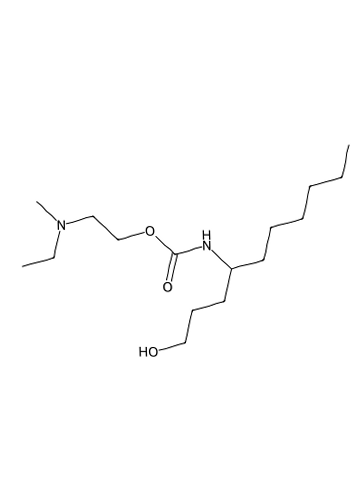 CCCCCCC(CCCO)NC(=O)OCCN(C)CC